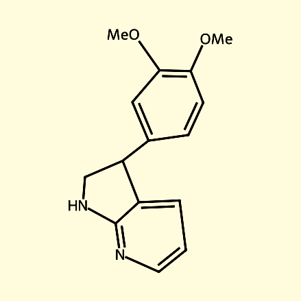 COc1ccc(C2CNc3ncccc32)cc1OC